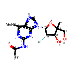 CNc1nc(NC(=O)C(C)C)nc2c1ncn2[C@@H]1OC(C)(CO)[C@@H](O)[C@@H]1F